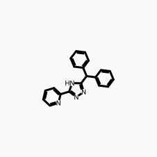 c1ccc(C(c2ccccc2)c2nnc(-c3ccccn3)[nH]2)cc1